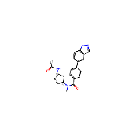 CCC(=O)N[C@@H]1CC[C@H](N(C)C(=O)c2ccc(-c3ccc4[nH]ncc4c3)cc2)C1